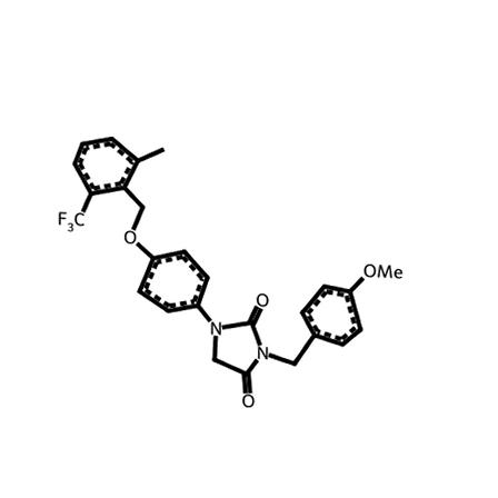 COc1ccc(CN2C(=O)CN(c3ccc(OCc4c(C)cccc4C(F)(F)F)cc3)C2=O)cc1